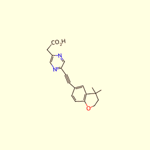 CC1(C)CCOc2ccc(C#Cc3cnc(CC(=O)O)cn3)cc21